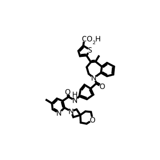 CC1=C(c2ccc(C(=O)O)s2)CCN(C(=O)c2ccc(NC(=O)c3cc(C)cnc3N3CC4(CCOCC4)C3)cc2)c2ccccc21